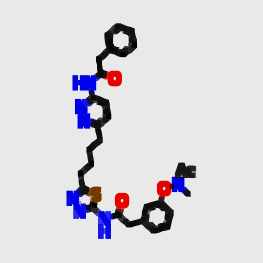 CC(=O)N(C)Oc1cccc(CC(=O)Nc2nnc(CCCCc3ccc(NC(=O)Cc4ccccc4)nn3)s2)c1